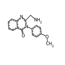 COc1ccc(-n2c(CN)nc3ccccc3c2=O)cc1